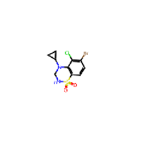 O=S1(=O)NCN(C2CC2)c2c1ccc(Br)c2Cl